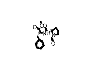 COC(=O)[C@@H](Cc1ccccc1)NC(=O)[C@@H]1CCCN1C=O